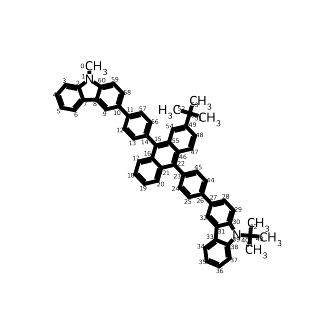 Cn1c2ccccc2c2cc(-c3ccc(-c4c5ccccc5c(-c5ccc(-c6ccc7c(c6)c6ccccc6n7C(C)(C)C)cc5)c5ccc(C(C)(C)C)cc45)cc3)ccc21